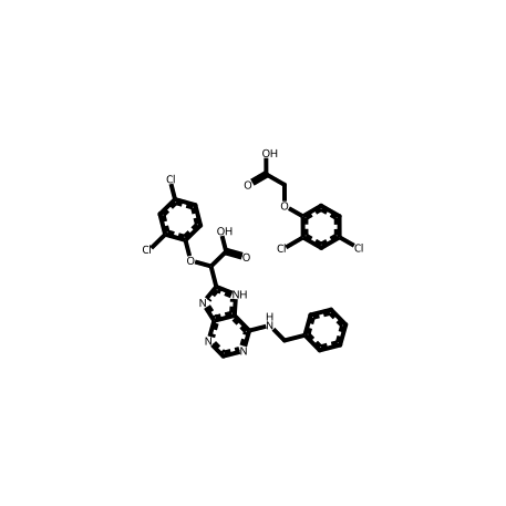 O=C(O)C(Oc1ccc(Cl)cc1Cl)c1nc2ncnc(NCc3ccccc3)c2[nH]1.O=C(O)COc1ccc(Cl)cc1Cl